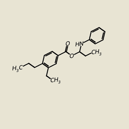 CCCc1ccc(C(=O)OC(CC)Nc2ccccc2)cc1CC